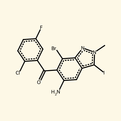 Cn1nc2c(Br)c(C(=O)c3cc(F)ccc3Cl)c(N)cc2c1I